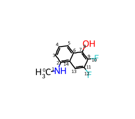 CNc1cccc2c(O)c(F)c(F)cc12